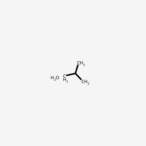 O.[CH2]C(C)C